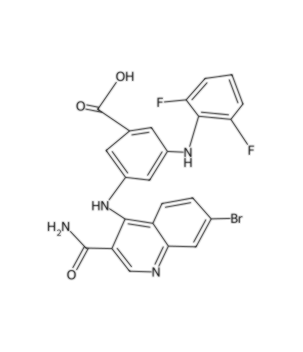 NC(=O)c1cnc2cc(Br)ccc2c1Nc1cc(Nc2c(F)cccc2F)cc(C(=O)O)c1